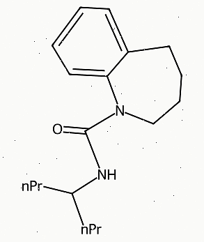 CCCC(CCC)NC(=O)N1CCCCc2ccccc21